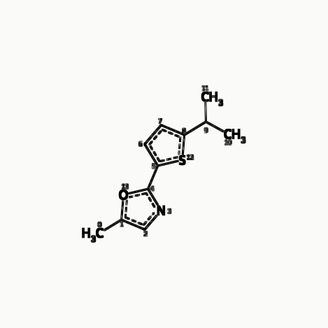 Cc1cnc(-c2ccc(C(C)C)s2)o1